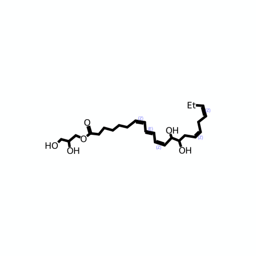 CC/C=C\C/C=C\CC(O)C(O)\C=C/C=C/C=C\CCCCCC(=O)OCC(O)CO